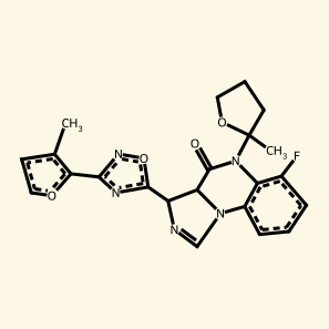 Cc1ccoc1-c1noc(C2N=CN3c4cccc(F)c4N(C4(C)CCCO4)C(=O)C23)n1